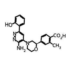 Cc1cc([C@@H]2CN(c3cc(-c4ccccc4O)nnc3N)CCO2)ccc1C(=O)O